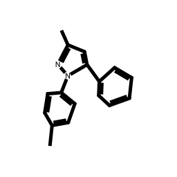 Cc1ccc(-n2nc(C)cc2-c2ccccc2)cc1